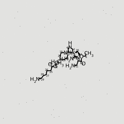 C1CCNC1.CCOC(=O)CCN.CN1CCCNCC1.COC(=O)CCCCCN.Nc1nccs1